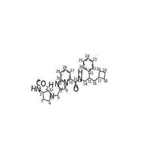 O=C(O)NC1CCN(Cc2cn3c(C(=O)NCC(CC4CCC4)c4ccccc4)cccc3n2)C1